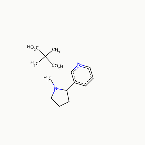 CC(C)(C(=O)O)C(=O)O.CN1CCCC1c1cccnc1